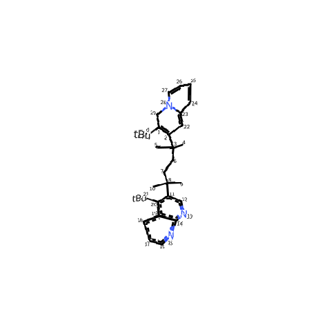 CC(C)(C)C1=C(C(C)(C)CCC(C)(C)c2cnc3ncccc3c2C(C)(C)C)C=C2C=CC=CN2C1